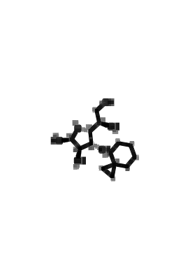 C1CCC2(CC1)CC2.OC[C@@H](O)[C@H]1O[C@H](O)[C@H](O)[C@H]1O